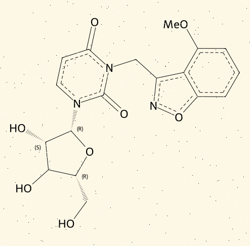 COc1cccc2onc(Cn3c(=O)ccn([C@@H]4O[C@H](CO)C(O)[C@@H]4O)c3=O)c12